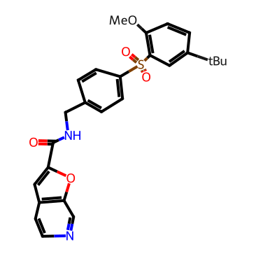 COc1ccc(C(C)(C)C)cc1S(=O)(=O)c1ccc(CNC(=O)c2cc3ccncc3o2)cc1